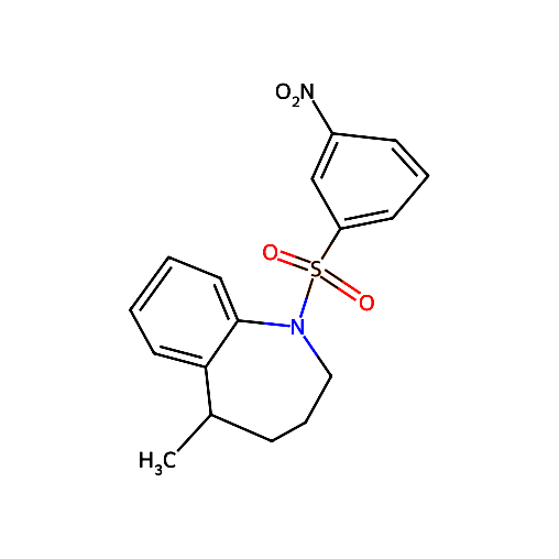 CC1CCCN(S(=O)(=O)c2cccc([N+](=O)[O-])c2)c2ccccc21